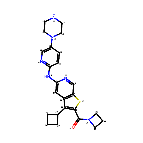 O=C(c1sc2cnc(Nc3ccc(N4CCNCC4)cn3)cc2c1C1CCC1)N1CCC1